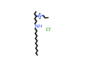 CCCCCCCCCCCCNCCCC(CC)[N+](C)(C)CCC.[Cl-]